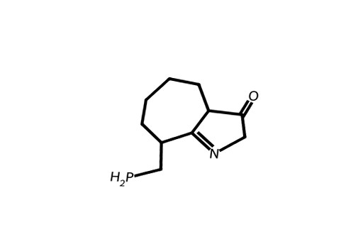 O=C1CN=C2C(CP)CCCCC12